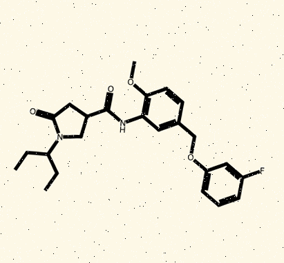 CCC(CC)N1CC(C(=O)Nc2cc(COc3cccc(F)c3)ccc2OC)CC1=O